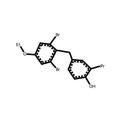 CCOc1cc(Br)c(Cc2ccc(O)c(C(C)C)c2)c(Br)c1